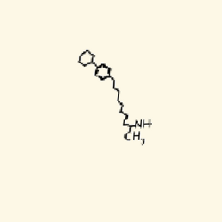 CC([NH])CCCCCCCCc1ccc(C2CCCCC2)cc1